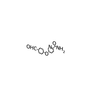 NC(=O)c1ccc(Oc2ccc(C=O)cc2)cn1